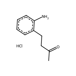 CC(=O)CCc1ccccc1N.Cl